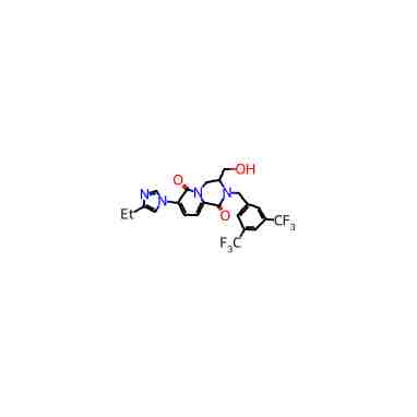 CCc1cn(-c2ccc3n(c2=O)CC(CO)N(Cc2cc(C(F)(F)F)cc(C(F)(F)F)c2)C3=O)cn1